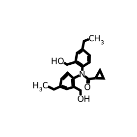 CCc1ccc(N(C(=O)C2CC2)c2ccc(CC)cc2CO)c(CO)c1